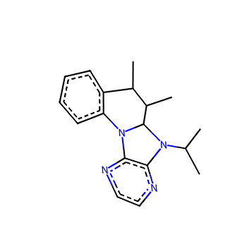 CC1c2ccccc2N2c3nccnc3N(C(C)C)C2C1C